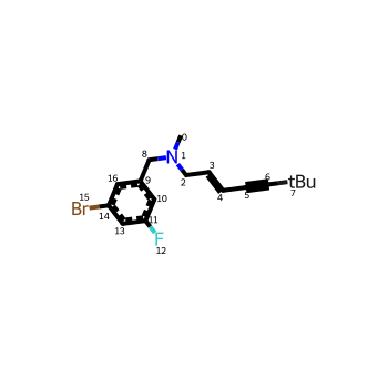 CN(C/C=C/C#CC(C)(C)C)Cc1cc(F)cc(Br)c1